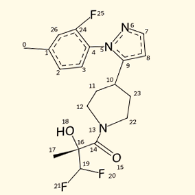 Cc1ccc(-n2nccc2C2CCN(C(=O)[C@@](C)(O)C(F)F)CC2)c(F)c1